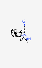 C=CCC1(c2ccc(C#N)cc2-c2ccccc2)C=CC=C2CNCN21